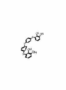 Oc1cccc(Sc2ccc(Sc3ccc(Sc4cccc(O)c4O)cc3)cc2)c1O